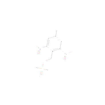 Cc1cc([N+](=O)[O-])c(COP(C)(C)=O)c([N+](=O)[O-])c1